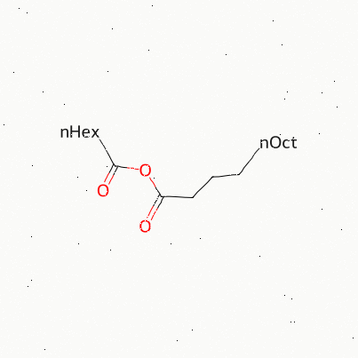 CCCCCCCCCCCC(=O)OC(=O)CCCCCC